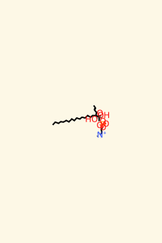 CC=CC(=O)C(O)(CCCCCCCCCCCCCCCC)[C@@H](O)COP(=O)([O-])OCC[N+](C)(C)C